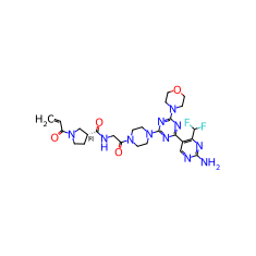 C=CC(=O)N1CC[C@@H](C(=O)NCC(=O)N2CCN(c3nc(-c4cnc(N)nc4C(F)F)nc(N4CCOCC4)n3)CC2)C1